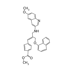 COC(=O)c1ccc(C=C(CNc2cnc3ccc(OC)cc3c2)COc2cccc3ccccc23)cc1